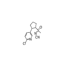 CS(=O)(=NC#N)C1CCCC1c1ccc(Cl)nc1